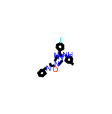 C/C(=N\Cc1ccccc1)C(=O)N1CCn2c(nc(-c3ccc(F)cc3)c2Nc2ccc(C)cc2)C1